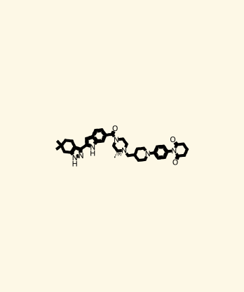 C[C@@H]1CN(C(=O)c2ccc3cc(-c4n[nH]c5c4CCC(C)(C)C5)[nH]c3c2)CCN1CC1CCN(c2ccc(N3C(=O)CCCC3=O)cc2)CC1